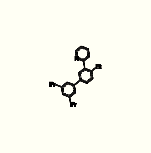 CCc1ccc(-c2cc(C(C)C)cc(C(C)C)c2)cc1-c1ccccn1